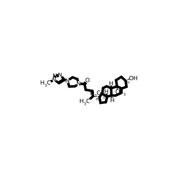 CC(CCC(=O)N1CCN(c2cn(C)nn2)CC1)[C@H]1CC[C@H]2[C@@H]3CC=C4C[C@@H](O)CC[C@]4(C)[C@H]3CC[C@]12C